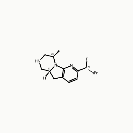 CCC[C@@H](F)c1ccc2c(n1)N1[C@@H](CNC[C@H]1C)C2